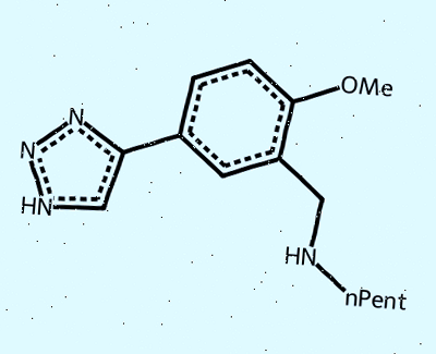 CCCCCNCc1cc(-c2c[nH]nn2)ccc1OC